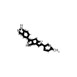 Cc1ccc(-c2cc3c(s2)Cc2c(-c4ccc5[nH]ncc5c4)n[nH]c2-3)cn1